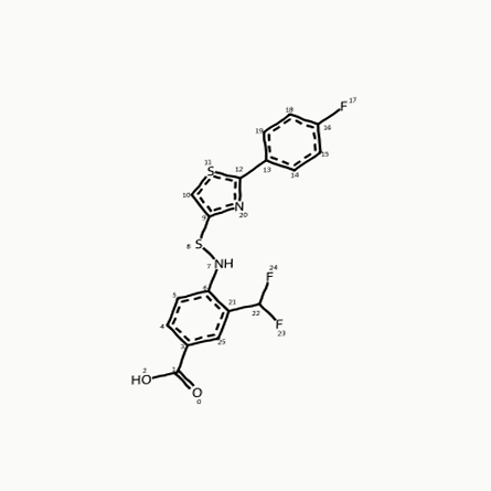 O=C(O)c1ccc(NSc2csc(-c3ccc(F)cc3)n2)c(C(F)F)c1